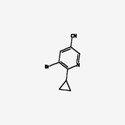 N#Cc1cnc(C2CC2)c(Br)c1